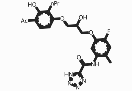 CCCc1c(OCC(O)COc2cc(NC(=O)c3nnn[nH]3)c(C)cc2F)ccc(C(C)=O)c1O